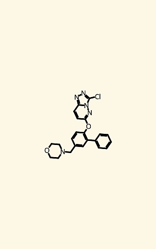 Clc1nnc2ccc(Oc3ccc(CN4CCOCC4)cc3-c3ccccc3)nn12